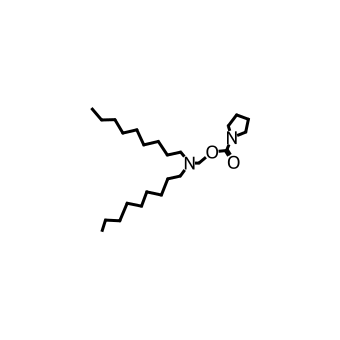 CCCCCCCCCN(CCCCCCCCC)COC(=O)N1CCCC1